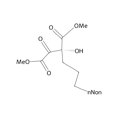 CCCCCCCCCCCC[C@](O)(C(=O)OC)C(=O)C(=O)OC